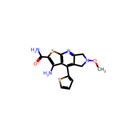 CON1Cc2nc3sc(C(N)=O)c(N)c3c(-c3cccs3)c2C1